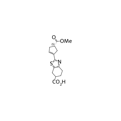 COC(=O)[C@H]1CC=C(c2nc3c(s2)CC(C(=O)O)CC3)C1